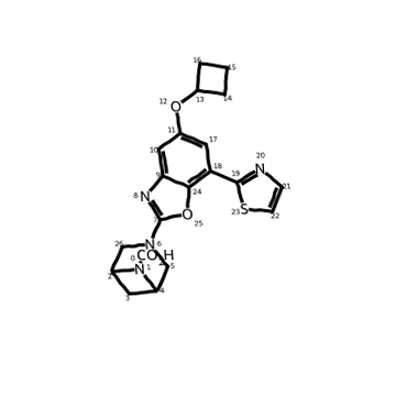 O=C(O)N1C2CC1CN(c1nc3cc(OC4CCC4)cc(-c4nccs4)c3o1)C2